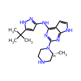 C[C@@H]1CNCCN1c1nc(Nc2cc(C(C)(C)C)[nH]n2)c2cc[nH]c2n1